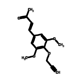 C#CCOc1c(OC)cc(/C=C/C(C)=O)cc1OC